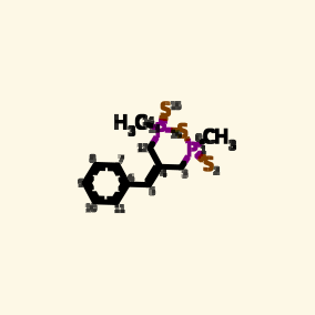 CP1(=S)CC(=Cc2ccccc2)CP(C)(=S)S1